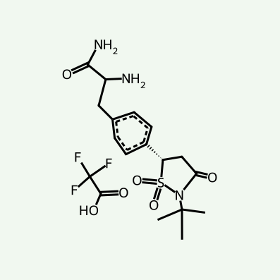 CC(C)(C)N1C(=O)C[C@@H](c2ccc(CC(N)C(N)=O)cc2)S1(=O)=O.O=C(O)C(F)(F)F